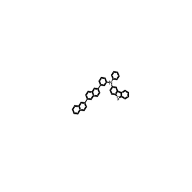 c1ccc(N(c2cccc(-c3ccc4cc(-c5ccc6ccccc6c5)ccc4c3)c2)c2ccc3sc4ccccc4c3c2)cc1